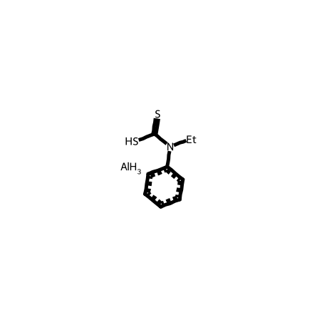 CCN(C(=S)S)c1ccccc1.[AlH3]